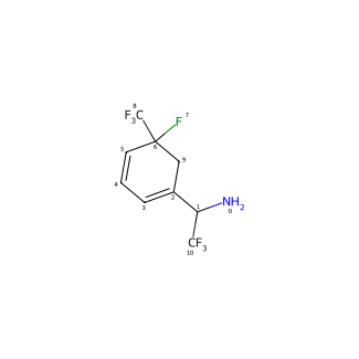 NC(C1=CC=CC(F)(C(F)(F)F)C1)C(F)(F)F